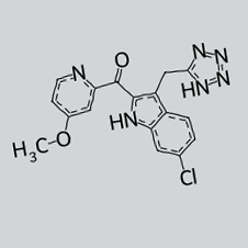 COc1ccnc(C(=O)c2[nH]c3cc(Cl)ccc3c2Cc2nnn[nH]2)c1